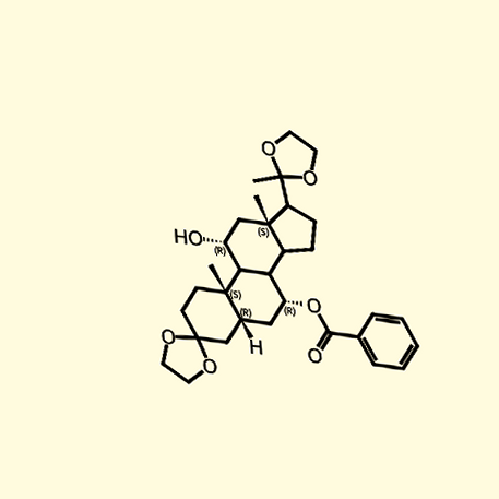 CC1(C2CCC3C4C([C@H](O)C[C@@]32C)[C@@]2(C)CCC3(C[C@H]2C[C@H]4OC(=O)c2ccccc2)OCCO3)OCCO1